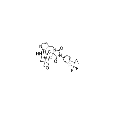 CC1(C)C(=O)N(c2ccc(C3(C(F)(F)F)CC3)cc2)C(=O)N1Cc1ccnc(NC2CC3(COC3)C2)c1